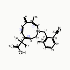 C=C1/C=C\C(C(F)(F)C(=O)O)=C/CN(Cc2c(C)cccc2C#N)/C=C\1C